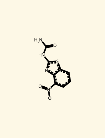 NC(=O)Nc1nc2c([N+](=O)[O-])cccc2s1